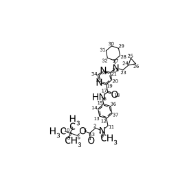 CN(CC(=O)OCC(C)(C)C)Cc1ccc(NC(=O)c2cc(N(CC3CC3)C3CCCCC3)ncn2)cc1